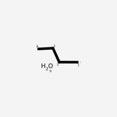 O.[CH2]CCC